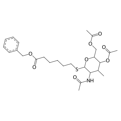 CC(=O)NC1C(SCCCCCC(=O)OCc2ccccc2)OC(COC(C)=O)C(OC(C)=O)C1C